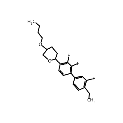 CCCCOC1CCC(c2ccc(-c3ccc(CC)c(F)c3)c(F)c2F)OC1